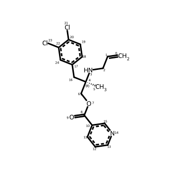 C=CCN[C@@](C)([CH]OC(=O)c1cccnc1)Cc1ccc(Cl)c(Cl)c1